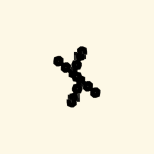 c1ccc(-c2ccc(-c3cc4cc5c(cc(-c6ccc(-c7ccccc7)cc6)n5-c5ccc(-c6cn7ccccc7n6)cc5)cc4n3-c3ccc(-c4cn5ccccc5n4)cc3)cc2)cc1